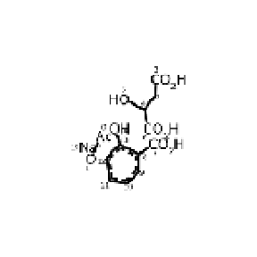 CC(=O)[O-].O=C(O)CC(O)C(=O)O.O=C(O)c1ccccc1O.[Na+]